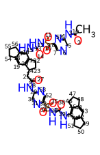 CC(=O)Nc1cncc(S(=O)(=O)NC(=O)Nc2c3c(cc4c2CCC4CC(=O)Nc2cnc(S(=O)(=O)NC(=O)Nc4c5c(cc6c4CCC6)CCC5)cn2)CCC3)n1